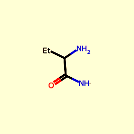 CCC(N)C([NH])=O